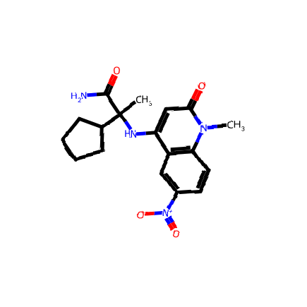 Cn1c(=O)cc(NC(C)(C(N)=O)C2CCCC2)c2cc([N+](=O)[O-])ccc21